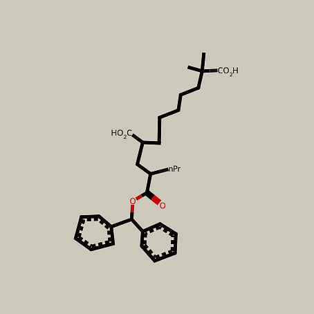 CCCC(CC(CCCCCC(C)(C)C(=O)O)C(=O)O)C(=O)OC(c1ccccc1)c1ccccc1